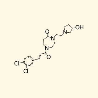 O=C(/C=C/c1ccc(Cl)c(Cl)c1)N1CCC(=O)N(CCN2CC[C@H](O)C2)CC1